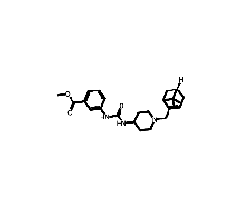 COC(=O)c1cccc(NC(=O)NC2CCN(CC3=CC[C@H]4CC3C4(C)C)CC2)c1